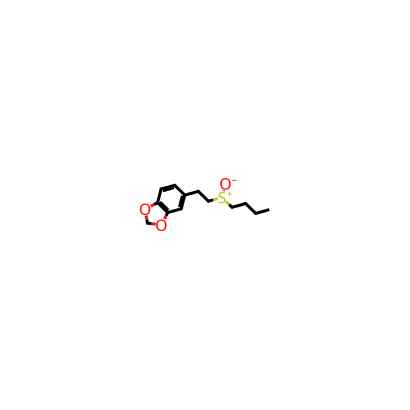 CCCC[S+]([O-])CCc1ccc2c(c1)OCO2